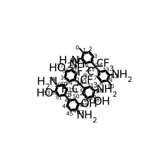 Cc1ccc(C(c2ccc(C)c(N)c2)(C(F)(F)F)C(F)(F)F)cc1N.Nc1cc(C(c2ccc(O)c(N)c2)(C(F)(F)F)C(F)(F)F)ccc1O.Nc1ccc(-c2ccc(N)c(O)c2)cc1O